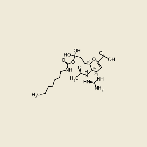 CCCCCCCNC(=O)OC(O)(O)CC[C@H]1OC(C(=O)O)=C[C@H](NC(=N)N)[C@H]1NC(C)=O